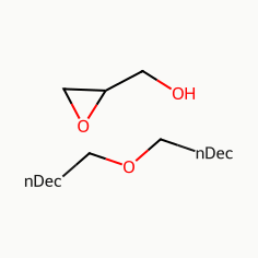 CCCCCCCCCCCOCCCCCCCCCCC.OCC1CO1